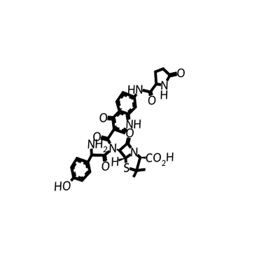 CC1(C)S[C@@H]2[C@H](N(C(=O)c3c[nH]c4cc(NC(=O)C5CCC(=O)N5)ccc4c3=O)C(=O)C(N)c3ccc(O)cc3)C(=O)N2[C@H]1C(=O)O